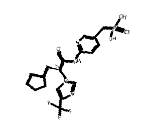 O=C(Nc1ccc(CP(=O)(O)O)cn1)[C@H](CC1CCCC1)n1cnc(C(F)(F)F)c1